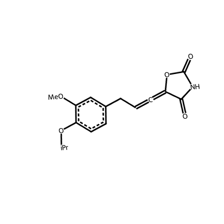 COc1cc(CC=C=C2OC(=O)NC2=O)ccc1OC(C)C